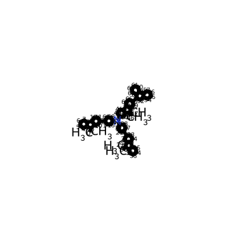 CC1(C)c2ccccc2-c2ccc(-c3ccc(N(c4ccc(-c5ccc6c(c5)C(C)(C)c5ccccc5-6)cc4)c4ccc5c(c4)C(C)(C)c4cc(-c6cc7ccccc7c7ccccc67)ccc4-5)cc3)cc21